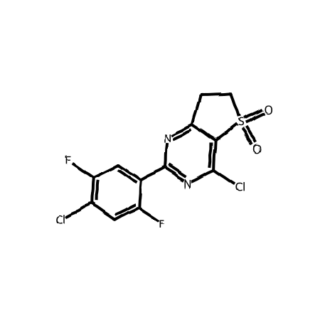 O=S1(=O)CCc2nc(-c3cc(F)c(Cl)cc3F)nc(Cl)c21